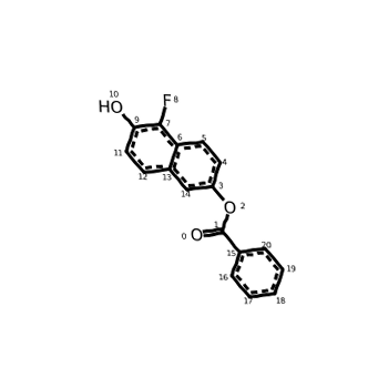 O=C(Oc1ccc2c(F)c(O)ccc2c1)c1ccccc1